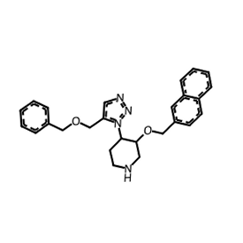 c1ccc(COCc2cnnn2C2CCNCC2OCc2ccc3ccccc3c2)cc1